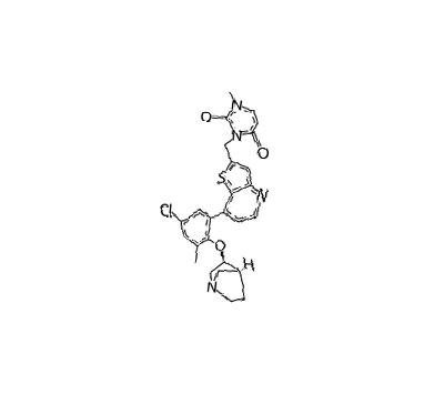 Cc1cc(Cl)cc(-c2ccnc3cc(Cn4c(=O)ccn(C)c4=O)sc23)c1O[C@@H]1CN2CC[C@H]1C2